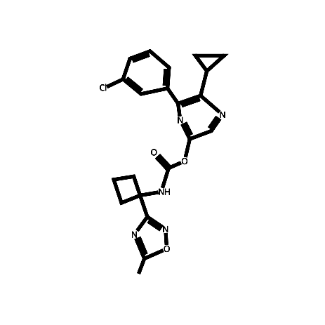 Cc1nc(C2(NC(=O)Oc3cnc(C4CC4)c(-c4cccc(Cl)c4)n3)CCC2)no1